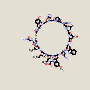 CCCC[C@H]1C(=O)N(C)[C@@H](CCCC)C(=O)N[C@@H](CC(C)C)C(=O)N[C@H](C(=O)NCC(N)=O)CSCC(=O)N[C@@H](Cc2ccc(O)cc2)C(=O)N(C)[C@@H](C)C(=O)N[C@@H](CC(N)=O)C(=O)N2CCC[C@H]2C(=O)N[C@@H](CN)C(=O)N[C@@H](CC(C)C)C(=O)N2C[C@H](O)C[C@H]2C(=O)N[C@@H](Cc2c[nH]c3ccccc23)C(=O)N[C@@H](CCN)C(=O)N[C@@H](Cc2cn(CC(=O)O)c3ccc(OC)cc23)C(=O)N1C